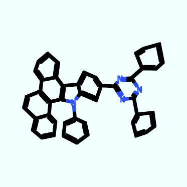 c1ccc(-c2nc(-c3ccccc3)nc(-c3ccc4c5c6ccccc6c6ccc7ccccc7c6c5n(-c5ccccc5)c4c3)n2)cc1